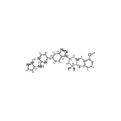 COc1cccc(F)c1CN1CC(n2nnc3cc(-c4ccnc(Nc5ccnn5C)n4)ccc32)CC(F)(F)C1